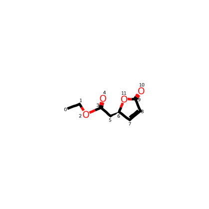 CCOC(=O)C[C@@H]1C=CC(=O)O1